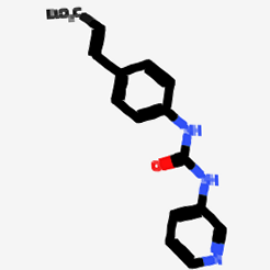 CCOC(=O)C=Cc1ccc(NC(=O)Nc2cccnc2)cc1